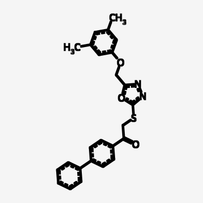 Cc1cc(C)cc(OCc2nnc(SCC(=O)c3ccc(-c4ccccc4)cc3)o2)c1